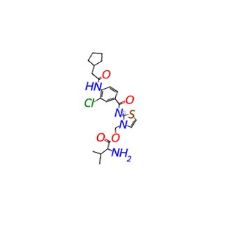 CC(C)C(N)C(=O)OCn1ccs/c1=N\C(=O)c1ccc(NC(=O)CC2CCCC2)c(Cl)c1